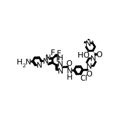 C[N+]1(C)CC[C@H](C(=O)N2CCN(C(=O)c3ccc(NC(=O)c4ncc(-c5cn(-c6ccc(N)cn6)nc5C(F)(F)F)[nH]4)cc3Cl)CC2)[C@@H](O)C1